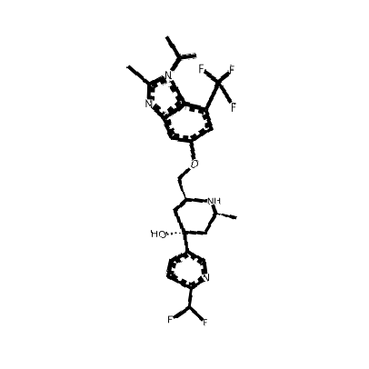 Cc1nc2cc(OC[C@@H]3C[C@](O)(c4ccc(C(F)F)nc4)C[C@H](C)N3)cc(C(F)(F)F)c2n1C(C)C